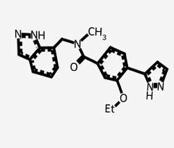 CCOc1cc(C(=O)N(C)Cc2cccc3cn[nH]c23)ccc1-c1ccn[nH]1